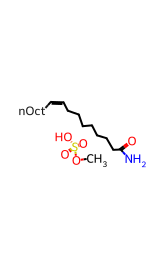 CCCCCCCC/C=C\CCCCCCCC(N)=O.COS(=O)(=O)O